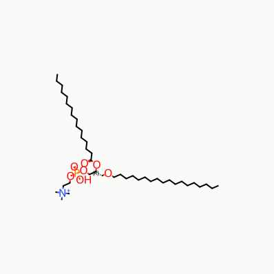 CCCCCCCCCCCCCCCCCCOC[C@H](COP(=O)(O)OCC[N+](C)(C)C)OC(=O)CCCCCCCCCCCCCCC